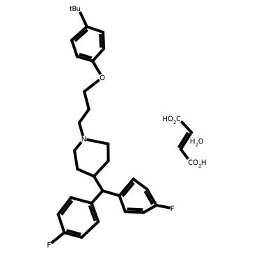 CC(C)(C)c1ccc(OCCCN2CCC(C(c3ccc(F)cc3)c3ccc(F)cc3)CC2)cc1.O.O=C(O)/C=C/C(=O)O